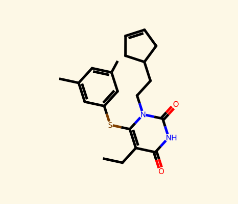 CCc1c(Sc2cc(C)cc(C)c2)n(CCC2CC=CC2)c(=O)[nH]c1=O